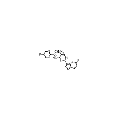 C[C@H](Nc1nc(-c2cnc3ccc(F)cn23)ncc1N)c1ccc(F)cn1